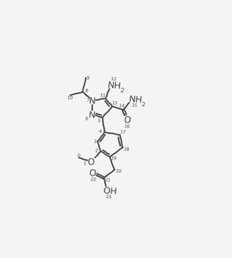 COc1cc(-c2nn(C(C)C)c(N)c2C(N)=O)ccc1CC(=O)O